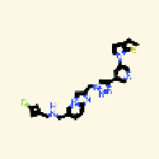 FC12CC(CNCc3ccc4nc(Cn5cc(-c6cncc(-n7ccc8ccsc87)c6)nn5)cn4c3)(C1)C2